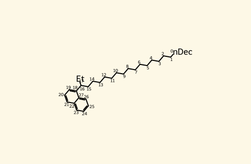 CCCCCCCCCCCCCCCCCCCCCCCCCC(CC)c1cccc2ccccc12